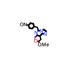 COC(=O)Cc1c(I)nc(Cc2ccc(N=O)cc2)n2ccnc12